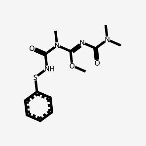 COC(=NC(=O)N(C)C)N(C)C(=O)NSc1ccccc1